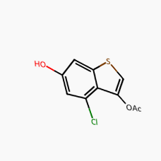 CC(=O)Oc1csc2cc(O)cc(Cl)c12